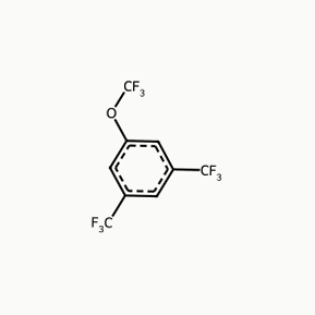 FC(F)(F)Oc1cc(C(F)(F)F)cc(C(F)(F)F)c1